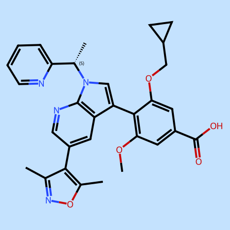 COc1cc(C(=O)O)cc(OCC2CC2)c1-c1cn([C@@H](C)c2ccccn2)c2ncc(-c3c(C)noc3C)cc12